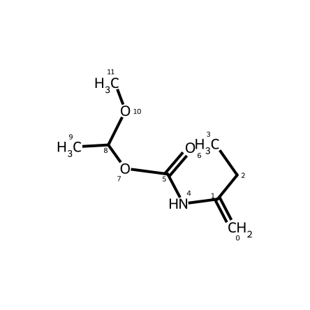 C=C(CC)NC(=O)OC(C)OC